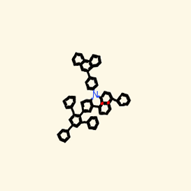 c1ccc(-c2ccc(N(c3ccc(-c4cc5ccccc5c5ccccc45)cc3)c3ccc(-c4c(-c5ccccc5)cc(-c5ccccc5)cc4-c4ccccc4)cc3-c3ccccc3)cc2)cc1